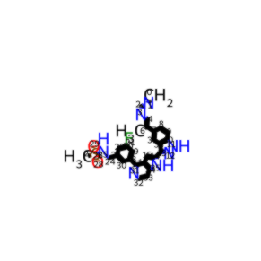 C=N/C=N\C=C(/C)c1ccc2[nH]nc(-c3cc4c(-c5cc(F)cc(CNS(C)(=O)=O)c5)nccc4[nH]3)c2c1